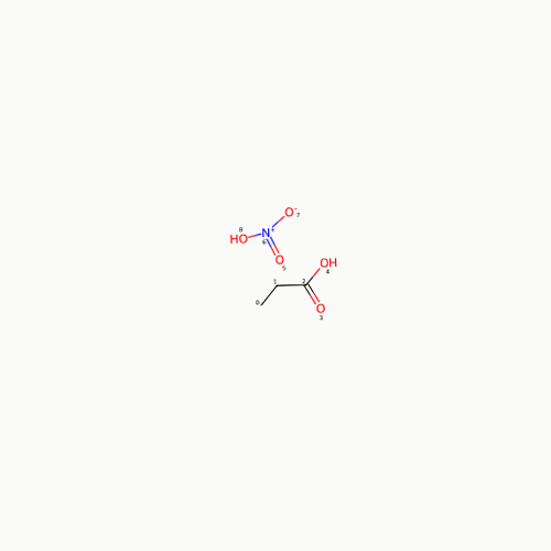 CCC(=O)O.O=[N+]([O-])O